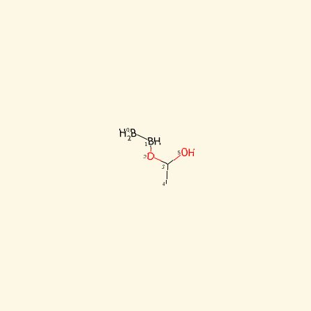 BBOC(C)O